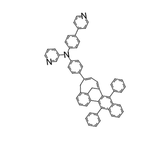 C1=C(/c2ccc(N(c3ccc(-c4ccncc4)cc3)c3cccnc3)cc2)Cc2cccc3c2C\C(=C/1)c1c-3c(-c2ccccc2)c2ccccc2c1-c1ccccc1